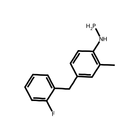 Cc1cc(Cc2ccccc2F)ccc1NP